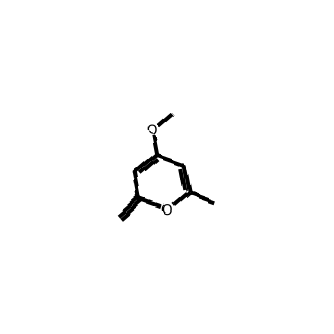 C=C1C=C(OC)C=C(C)O1